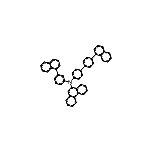 c1cc(-c2cccc3ccccc23)cc(N(c2ccc(-c3ccc(-c4cccc5ccccc45)cc3)cc2)c2cc3ccccc3c3ccccc23)c1